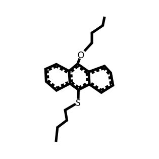 CCCCOc1c2ccccc2c(SCCCC)c2ccccc12